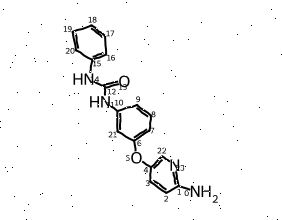 Nc1ccc(Oc2cccc(NC(=O)Nc3ccccc3)c2)cn1